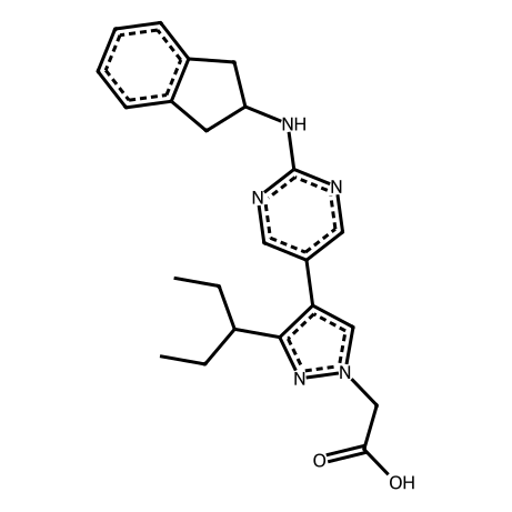 CCC(CC)c1nn(CC(=O)O)cc1-c1cnc(NC2Cc3ccccc3C2)nc1